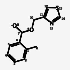 Cc1ccccc1C([O])OCc1cscn1